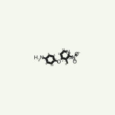 Cc1c(Oc2ccc(N)cc2)ccnc1[N+](=O)[O-]